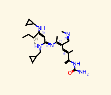 C=C(NC(N)=O)/C(C)=C/C(/C=N\C)=C(C)\N=C(/C=C(/NC1CC1)[C@H](C)CC)NCC1CC1